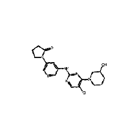 O=C1CCCN1c1cncc(Nc2ncc(Cl)c(N3CCCC(O)C3)n2)c1